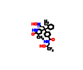 Cc1ccccc1C(C/C=N/O)(c1ccc(C(=O)NCC(O)C(F)(F)F)cc1)c1c[nH]c(=O)c(C)c1